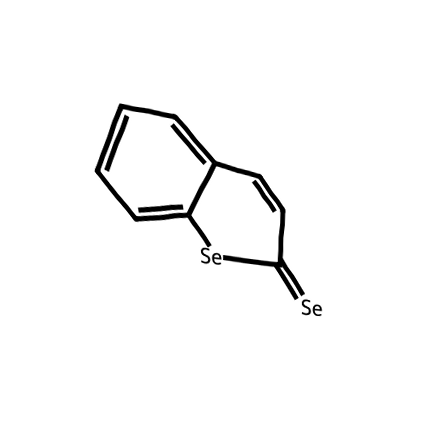 [Se]=c1ccc2ccccc2[se]1